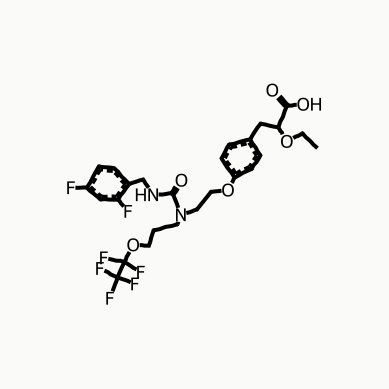 CCOC(Cc1ccc(OCCN(CCCOC(F)(F)C(F)(F)F)C(=O)NCc2ccc(F)cc2F)cc1)C(=O)O